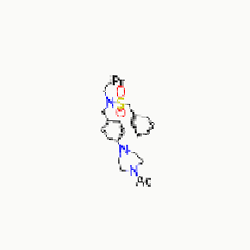 CC(=O)N1CCN(c2ccc(CN(CC(C)C)S(=O)(=O)Cc3ccccc3)cc2)CC1